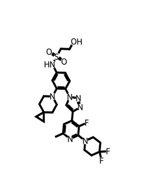 Cc1cc(-c2cn(-c3ccc(NS(=O)(=O)CCO)cc3N3CCC4(CC3)CC4)nn2)c(F)c(N2CCC(F)(F)CC2)n1